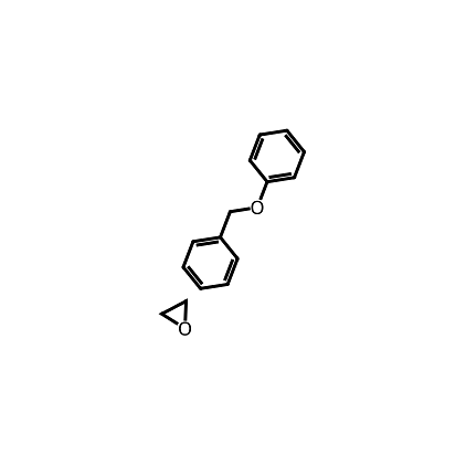 C1CO1.c1ccc(COc2ccccc2)cc1